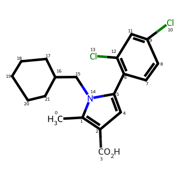 Cc1c(C(=O)O)cc(-c2ccc(Cl)cc2Cl)n1CC1CCCCC1